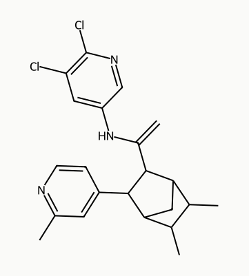 C=C(Nc1cnc(Cl)c(Cl)c1)C1C2CC(C(C)C2C)C1c1ccnc(C)c1